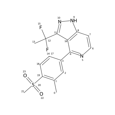 Cc1cc(-c2nccc3[nH]nc(C(C)(F)F)c23)ccc1S(C)(=O)=O